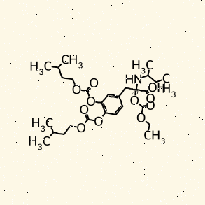 CCOC(=O)O[C@](Cc1ccc(OC(=O)OCCC(C)C)c(OC(=O)OCCC(C)C)c1)(NC(C)CC)C(=O)O